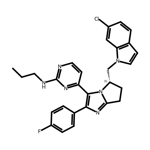 CCCNc1nccc(-c2c(-c3ccc(F)cc3)nc3n2[C@H](Cn2ccc4ccc(Cl)cc42)CC3)n1